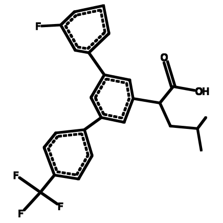 CC(C)CC(C(=O)O)c1cc(-c2ccc(C(F)(F)F)cc2)cc(-c2cccc(F)c2)c1